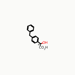 O=C(O)[C@H](O)c1ccc(Cc2ccccc2)cc1